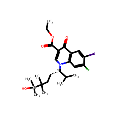 CCOC(=O)c1cn([C@@H](CCC(C)(C)[Si](C)(C)O)C(C)C)c2cc(F)c(I)cc2c1=O